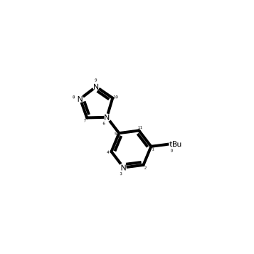 CC(C)(C)c1cncc(-n2cnnc2)c1